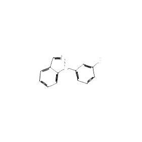 Fc1cccc(-n2ncc3ccccc32)c1